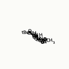 CC1CCc2c1nc1c(c2NC(=O)N=S(N)(=O)c2cnn3c2OCC(CNC(=O)OC(C)(C)C)C3)CCC1